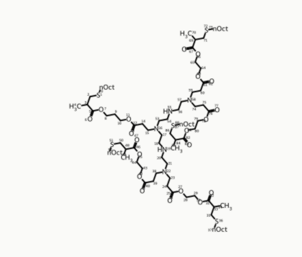 CCCCCCCCSCC(C)C(=O)OCCCOC(=O)CCN(CCNCCN(CCC(=O)OCCOC(=O)C(C)CSCCCCCCCC)CCC(=O)OCCOC(=O)C(C)CSCCCCCCCC)CCNCCN(CCC(=O)OCCOC(=O)C(C)CSCCCCCCCC)CCC(=O)OCCOC(=O)C(C)CSCCCCCCCC